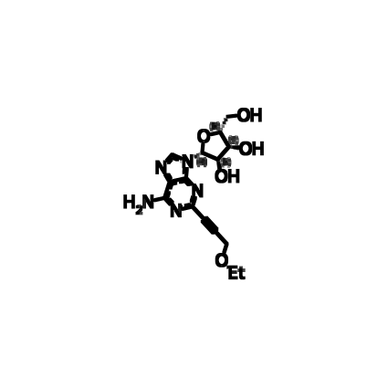 CCOCC#Cc1nc(N)c2ncn([C@@H]3O[C@H](CO)[C@@H](O)[C@H]3O)c2n1